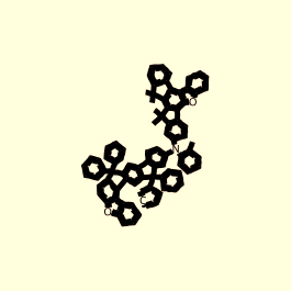 Cc1ccccc1N(c1ccc2c(c1)C(C)(C)c1c3c(c4c(oc5ccccc54)c1-2)-c1ccccc1C3(C)C)c1ccc2c(c1)C(c1ccccc1)(c1ccccc1)c1cc3c(cc1-2)C(c1ccccc1)(c1ccccc1)c1ccc2oc4ccccc4c2c1-3